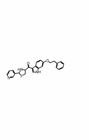 O=C(c1c[nH]c2cc(OCCc3ccccc3)ccc12)C1CSC(c2cccnc2)N1